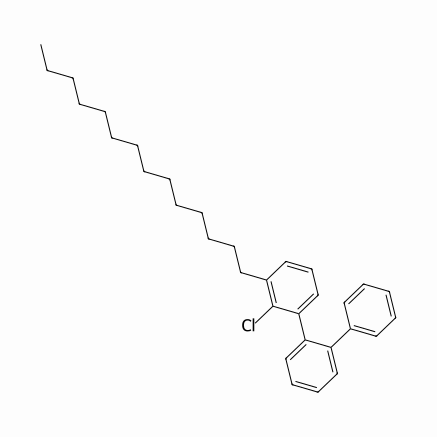 CCCCCCCCCCCCCCc1cccc(-c2ccccc2-c2ccccc2)c1Cl